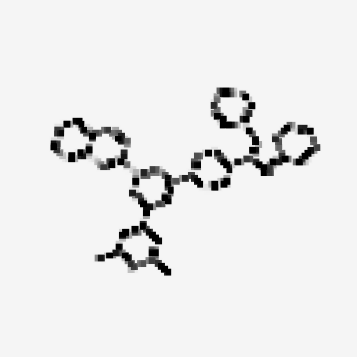 Cc1cc(-c2cc(-c3ccc(-c4nc5ccccn5c4-c4ccccc4)cc3)cc(-c3ccc4ccccc4c3)c2)cc(C)n1